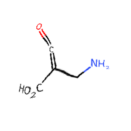 NCC(=C=O)C(=O)O